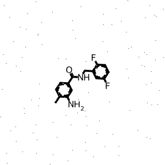 Cc1ccc(C(=O)NCc2cc(F)ccc2F)cc1N